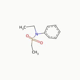 CCN(c1c[c]ccc1)S(=O)(=O)CC